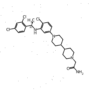 C[C@@H](Nc1cc(N2CCC(C3CCN(CC(N)=O)CC3)CC2)ccc1Cl)c1ccc(Cl)cc1Cl